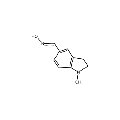 CN1CCc2cc(/C=N/O)ccc21